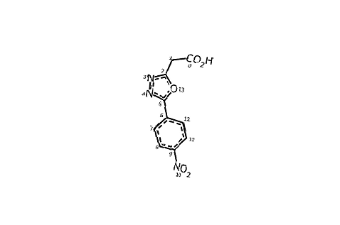 O=C(O)Cc1nnc(-c2ccc([N+](=O)[O-])cc2)o1